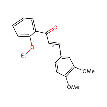 CCOc1ccccc1C(=O)/C=C/c1ccc(OC)c(OC)c1